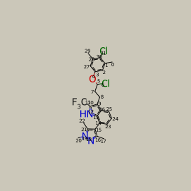 Cc1cc(OC(Cl)CCc2c(C(F)(F)F)[nH]c3c(-c4c(C)nn(C)c4C)cccc23)cc(C)c1Cl